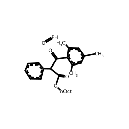 CCCCCCCCOC(=O)C(C(=O)c1c(C)cc(C)cc1C)c1ccccc1.O=P